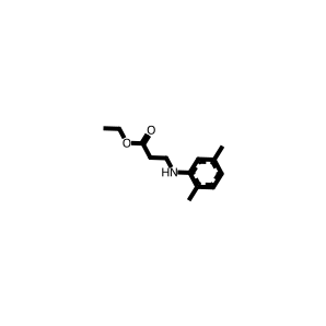 CCOC(=O)CCNc1cc(C)ccc1C